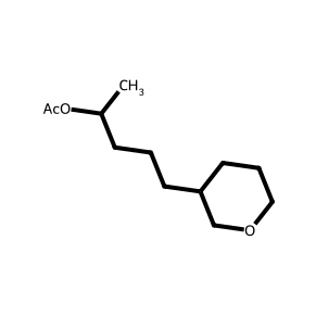 CC(=O)OC(C)CCCC1CCCOC1